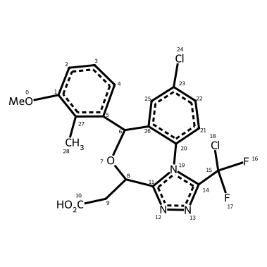 COc1cccc(C2OC(CC(=O)O)c3nnc(C(F)(F)Cl)n3-c3ccc(Cl)cc32)c1C